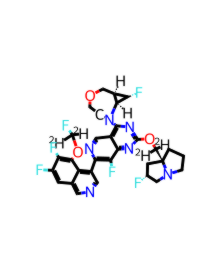 [2H]C([2H])(F)Oc1c(F)c(F)cc2cncc(-c3ncc4c(N5CCOC[C@H]6[C@H](F)[C@H]65)nc(OC([2H])([2H])[C@@]56CCCN5C[C@H](F)C6)nc4c3F)c12